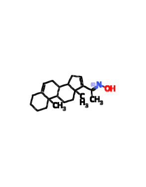 C/C(=N\O)C1=CCC2C3CC=C4CCCCC4(C)C3CCC12C